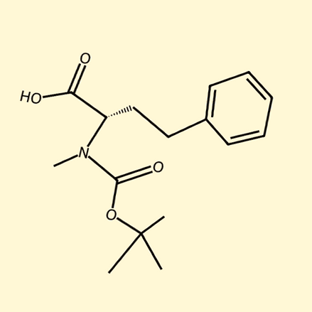 CN(C(=O)OC(C)(C)C)[C@@H](CCc1ccccc1)C(=O)O